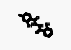 Cc1ccc(C(=O)NNC(=O)c2ccccc2S)c(S)c1